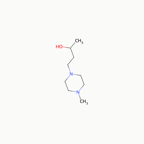 CC(O)CCN1CCN(C)CC1